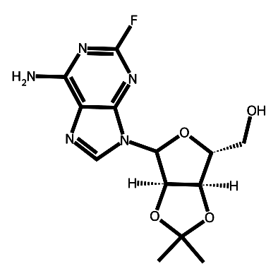 CC1(C)O[C@@H]2[C@@H](CO)OC(n3cnc4c(N)nc(F)nc43)[C@@H]2O1